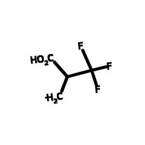 [CH2]C(C(=O)O)C(F)(F)F